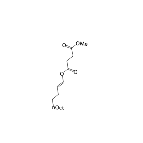 CCCCCCCCCCC=COC(=O)CCC(=O)OC